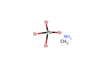 N.[Br][Pb]([Br])([Br])[Br].[CH3]